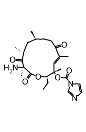 CC[C@H]1OC(=O)[C@@](C)(N)C(=O)[C@H](C)C[C@@H](C)CCC(=O)/C(C)=C/[C@]1(C)OC(=O)n1ccnc1